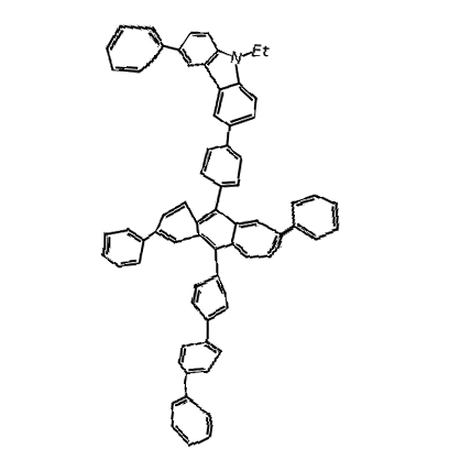 CCn1c2ccc(-c3ccccc3)cc2c2cc(-c3ccc(-c4c5ccc(-c6ccccc6)cc5c(-c5ccc(-c6ccc(-c7ccccc7)cc6)cc5)c5ccc(-c6ccccc6)cc45)cc3)ccc21